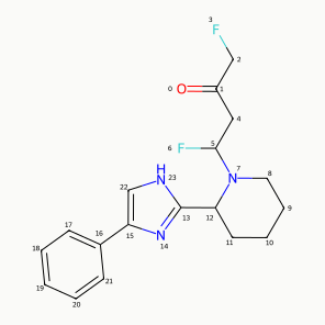 O=C(CF)CC(F)N1CCCCC1c1nc(-c2ccccc2)c[nH]1